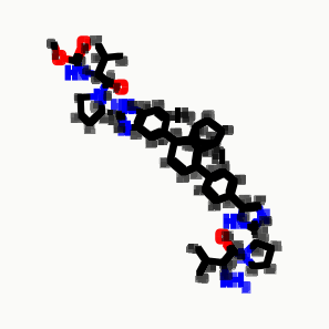 COC(=O)N[C@H](C(=O)N1CCC[C@H]1c1nc2cc(-c3ccc(-c4ccc(-c5cnc([C@@H]6CCCN6C(=O)[C@@H](N)C(C)C)[nH]5)cc4)c4c3[C@H]3CC[C@@H]4C3)ccc2[nH]1)C(C)C